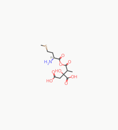 CSCC[C@H](N)C(=O)OC(=O)C(C)C(O)(CC(=O)O)C(=O)O